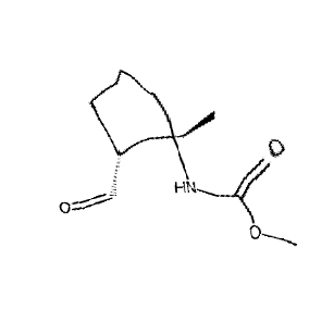 COC(=O)N[C@@]1(C)CCC[C@H]1C=O